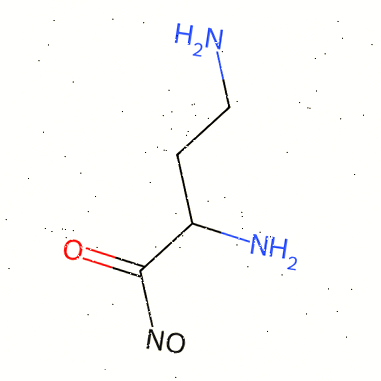 NCCC(N)C(=O)N=O